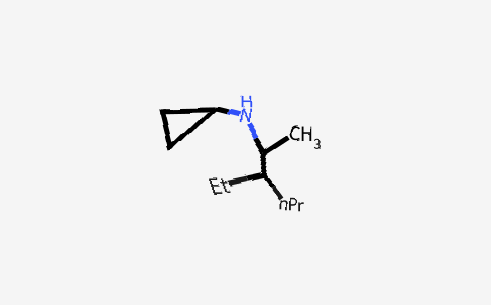 CCCC(CC)C(C)NC1CC1